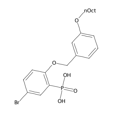 CCCCCCCCOc1cccc(COc2ccc(Br)cc2P(=O)(O)O)c1